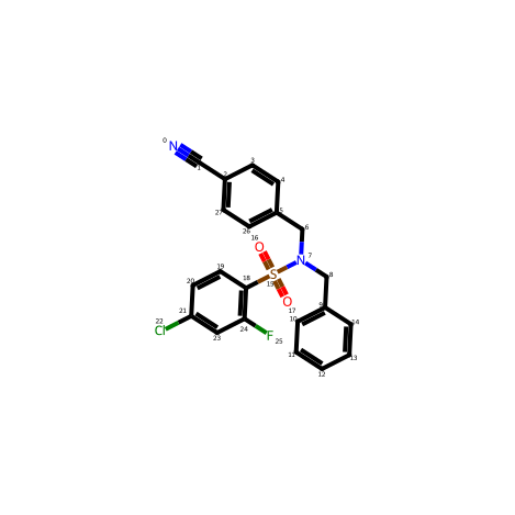 N#Cc1ccc(CN(Cc2ccccc2)S(=O)(=O)c2ccc(Cl)cc2F)cc1